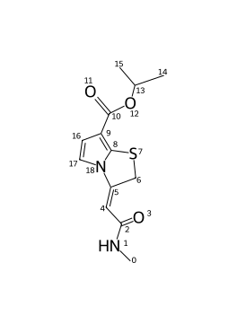 CNC(=O)/C=C1\CSc2c(C(=O)OC(C)C)ccn21